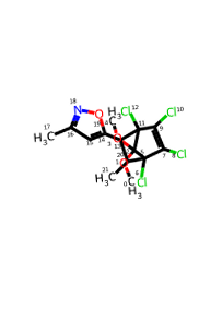 COC1(OC)C2(Cl)C(Cl)=C(Cl)C1(Cl)C(c1cc(C)no1)C2C